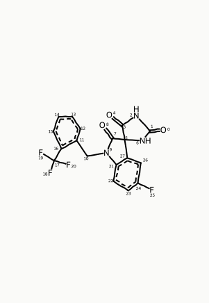 O=C1NC(=O)C2(N1)C(=O)N(Cc1ccccc1C(F)(F)F)c1ccc(F)cc12